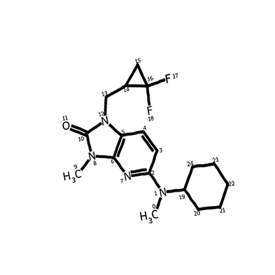 CN(c1ccc2c(n1)n(C)c(=O)n2CC1CC1(F)F)C1CCCCC1